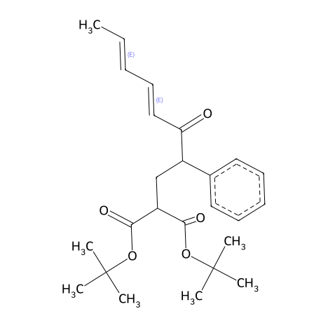 C/C=C/C=C/C(=O)C(CC(C(=O)OC(C)(C)C)C(=O)OC(C)(C)C)c1ccccc1